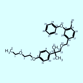 CCOCCOc1ccc(C(C)(C)COCc2ccc(F)c(Oc3ccccc3)c2)cc1